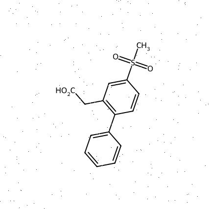 CS(=O)(=O)c1ccc(-c2ccccc2)c(CC(=O)O)c1